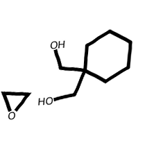 C1CO1.OCC1(CO)CCCCC1